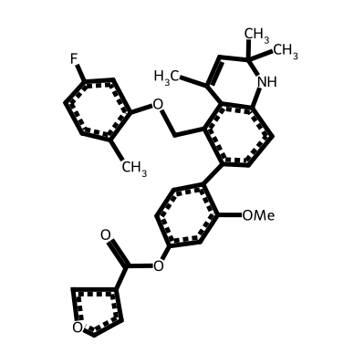 COc1cc(OC(=O)c2ccoc2)ccc1-c1ccc2c(c1COc1cc(F)ccc1C)C(C)=CC(C)(C)N2